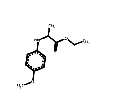 CCOC(=O)[C@H](C)Nc1ccc(OC)cc1